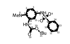 CNc1ccc(NS(=O)(=O)c2ccccc2)cc1NC(=O)OC(C)(C)C